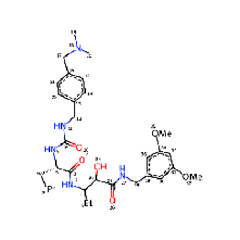 CCC(NC(=O)[C@H](CC(C)C)NC(=O)NCc1ccc(CN(C)C)cc1)C(O)C(=O)NCc1cc(OC)cc(OC)c1